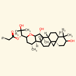 CC(C)CC(=O)O[C@@H](C1C[C@@H](C)[C@H]2C(O1)[C@H](O)[C@@]1(C)[C@@H]3CC[C@H]4C(C)(C)C(O)CC[C@@]45C[C@@]35CC[C@]21C)C(C)(C)O